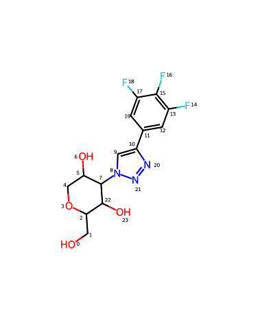 OCC1OCC(O)C(n2cc(-c3cc(F)c(F)c(F)c3)nn2)C1O